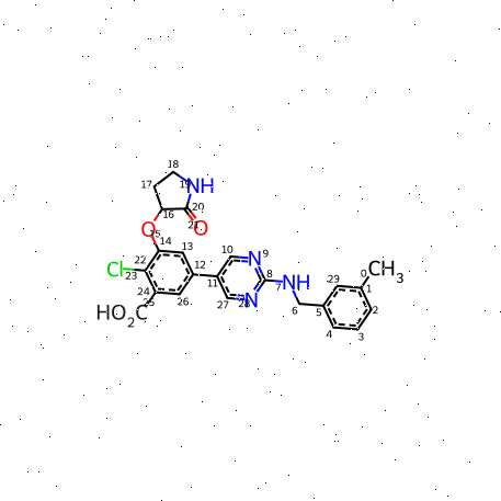 Cc1cccc(CNc2ncc(-c3cc(OC4CCNC4=O)c(Cl)c(C(=O)O)c3)cn2)c1